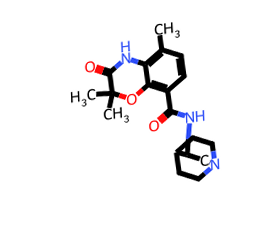 Cc1ccc(C(=O)NC2CN3CCC2CC3)c2c1NC(=O)C(C)(C)O2